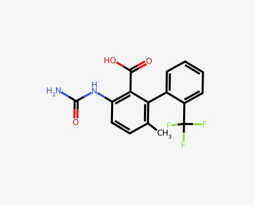 Cc1ccc(NC(N)=O)c(C(=O)O)c1-c1ccccc1C(F)(F)F